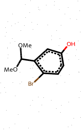 COC(OC)c1cc(O)ccc1Br